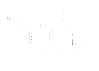 CC1(C)CC(O)c2cc(C#N)ccc2O1